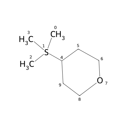 CS(C)(C)C1CCOCC1